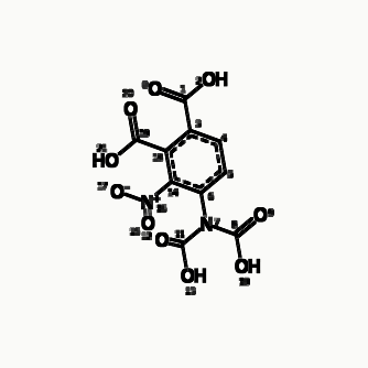 O=C(O)c1ccc(N(C(=O)O)C(=O)O)c([N+](=O)[O-])c1C(=O)O